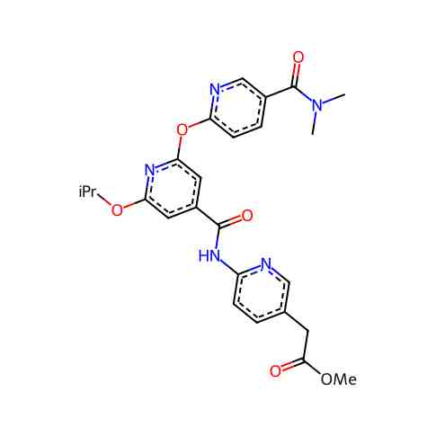 COC(=O)Cc1ccc(NC(=O)c2cc(Oc3ccc(C(=O)N(C)C)cn3)nc(OC(C)C)c2)nc1